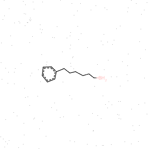 BCCCCCCc1ccccc1